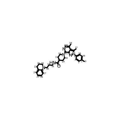 Cc1ccc(-n2nc3c(N4CCC(C(=O)NCCCN5CCCc6ccccc65)CC4)nnc(C)c3c2C)cc1